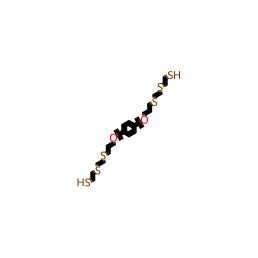 CC(C)(OCCCSCCSCCS)c1ccc(C(C)(C)OCCCSCCSCCS)cc1